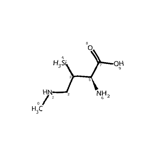 CNCC([SiH3])[C@H](N)C(=O)O